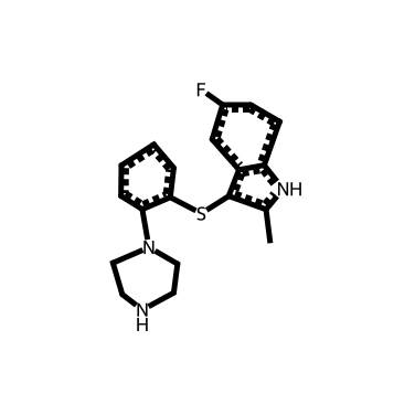 Cc1[nH]c2ccc(F)cc2c1Sc1ccccc1N1CCNCC1